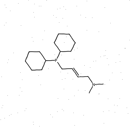 CN(C)CC=CCP(C1CCCCC1)C1CCCCC1